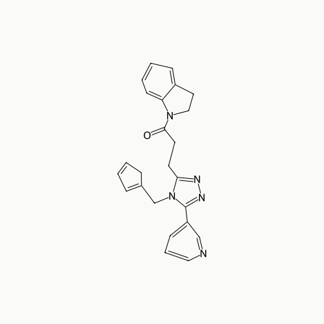 O=C(CCc1nnc(-c2cccnc2)n1CC1=CC=CC1)N1CCc2ccccc21